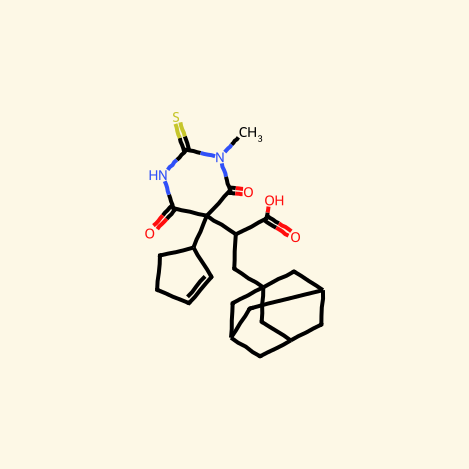 CN1C(=O)C(C2C=CCC2)(C(CC23CC4CC(CC(C4)C2)C3)C(=O)O)C(=O)NC1=S